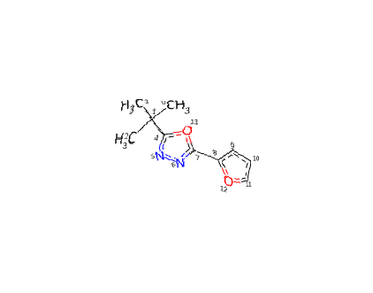 CC(C)(C)c1nnc(-c2ccco2)o1